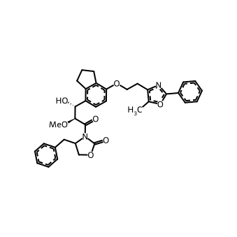 CO[C@H](C(=O)N1C(=O)OCC1Cc1ccccc1)[C@H](O)c1ccc(OCCc2nc(-c3ccccc3)oc2C)c2c1CCC2